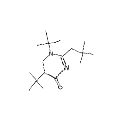 CC(C)(C)CC1=NC(=O)C(C(C)(C)C)CN1C(C)(C)C